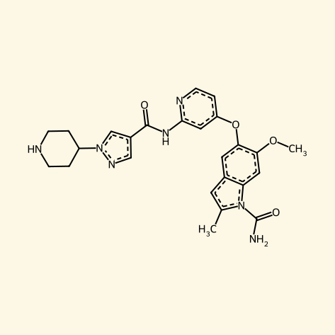 COc1cc2c(cc1Oc1ccnc(NC(=O)c3cnn(C4CCNCC4)c3)c1)cc(C)n2C(N)=O